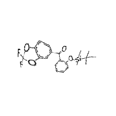 CC(C)(C)[Si](C)(C)Oc1ccccc1C(=O)c1ccc2c(c1)OC(F)(F)O2